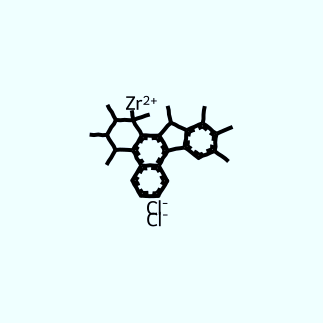 Cc1cc2c(c(C)c1C)C(C)c1c3c(c4ccccc4c1-2)C(C)C(C)C(C)[C]3(C)[Zr+2].[Cl-].[Cl-]